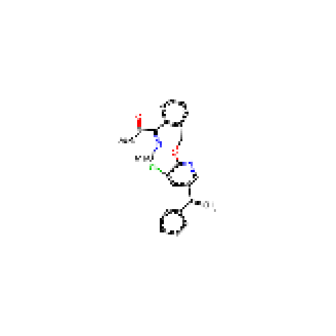 C=C(c1ccccc1)c1cnc(OCc2ccccc2C(=NOC)C(=O)NC)c(Cl)c1